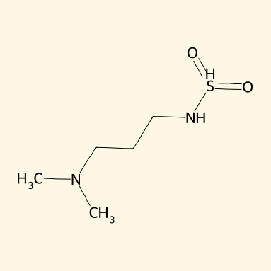 CN(C)CCCN[SH](=O)=O